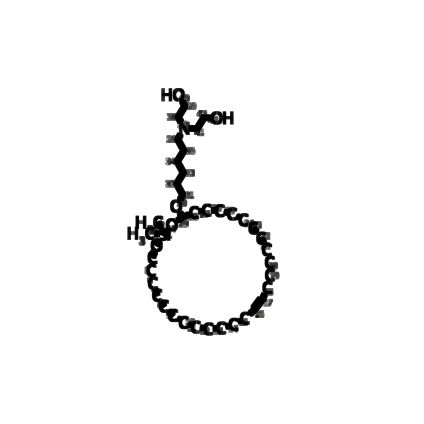 C[Si]1(C)OCCCCCCCCCCCC/C=C\CCCCCCCCCCCC(OCCCCCCN(CCO)CCO)O1